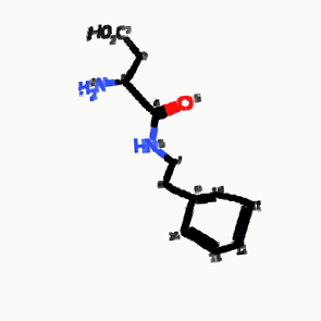 N[C@@H](CC(=O)O)C(=O)NCCc1ccccc1